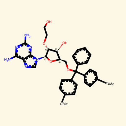 COc1ccc(C(OC[C@H]2O[C@@H](n3cnc4c(N)nc(N)nc43)[C@H](OCCO)[C@@H]2O)(c2ccccc2)c2ccc(OC)cc2)cc1